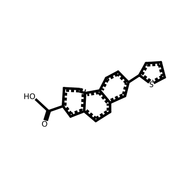 O=C(O)c1ccc2c(ccc3cc(-c4cccs4)ccc32)c1